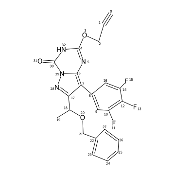 C#CCOc1nc2c(-c3cc(F)c(F)c(F)c3)c(C(C)OCc3ccccc3)nn2c(=O)[nH]1